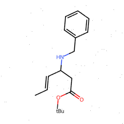 CC=CC(CC(=O)OC(C)(C)C)NCc1ccccc1